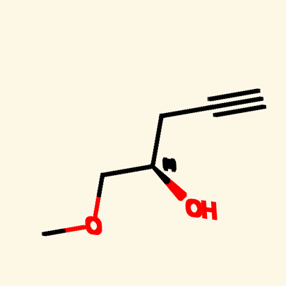 C#CC[C@@H](O)COC